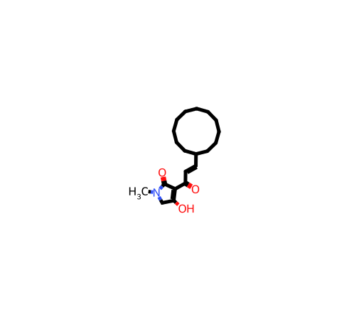 CN1CC(O)=C(C(=O)C=CC2CCCCCCCCCCC2)C1=O